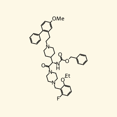 CCOc1cccc(F)c1CN1CCN(C(=O)[C@H](NC(=O)OCc2ccccc2)C2CCN(CCc3cc(OC)ccc3-c3ccccc3)CC2)CC1